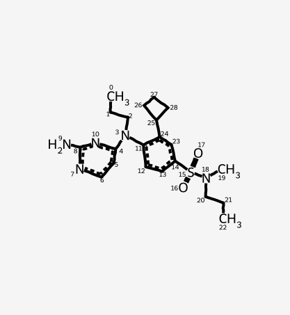 CCCN(c1ccnc(N)n1)c1ccc(S(=O)(=O)N(C)CCC)cc1C1CCC1